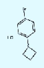 Brc1ccc(N2CCC2)nc1.Cl